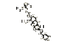 Cc1c(OCCCN(C)C)ccc2cc(NC(=O)OCc3ccccc3)c(=O)oc12